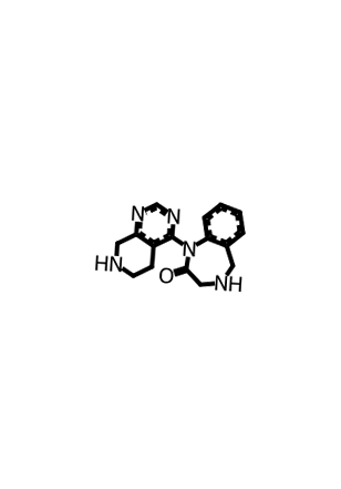 O=C1CNCc2ccccc2N1c1ncnc2c1CCNC2